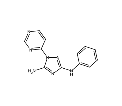 Nc1nc(Nc2ccccc2)nn1-c1ccncn1